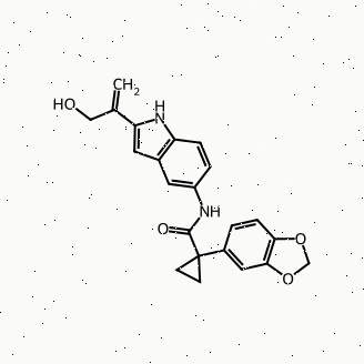 C=C(CO)c1cc2cc(NC(=O)C3(c4ccc5c(c4)OCO5)CC3)ccc2[nH]1